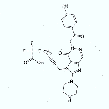 CC#CCn1c(N2CCNCC2)nc2cnn(CC(=O)c3ccc(C#N)cc3)c(=O)c21.O=C(O)C(F)(F)F